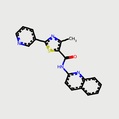 Cc1nc(-c2cccnc2)sc1C(=O)Nc1ccc2ccccc2n1